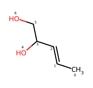 CC=CC(O)CO